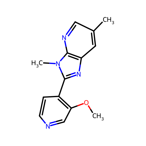 COc1cnccc1-c1nc2cc(C)cnc2n1C